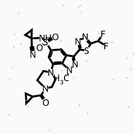 Cn1nc(-c2nnc(C(F)F)s2)c2cc(S(=O)(=O)NC3(C#N)CC3)cc(N3CCN(C(=O)C4CC4)CC3)c21